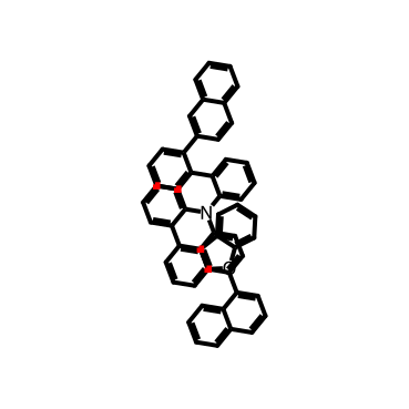 c1ccc(-c2ccccc2N(c2ccc(-c3cccc4ccccc34)cc2)c2ccccc2-c2cccc3oc4ccccc4c23)c(-c2ccc3ccccc3c2)c1